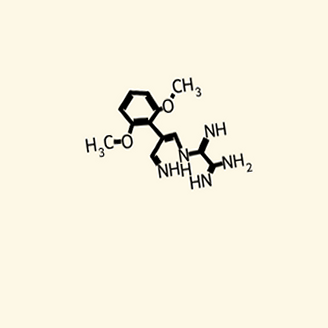 COc1cccc(OC)c1/C(C=N)=C/NC(=N)C(=N)N